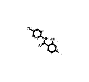 Nc1cc(F)ccc1C(=O)Nc1ccc(Cl)cn1